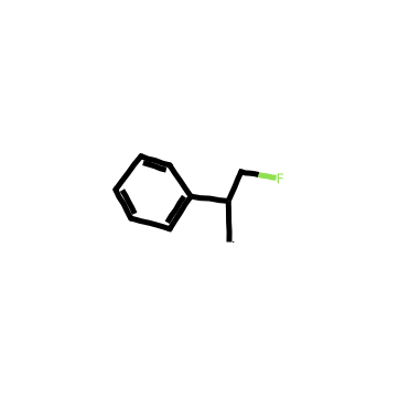 [CH2]C(CF)c1ccccc1